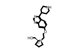 OC[C@@H]1CCCN1CCOc1ccc2c(C3CCNCC3)ncnc2c1